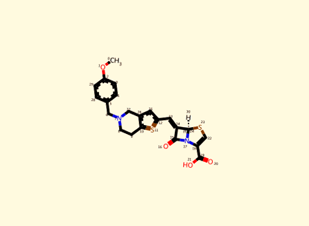 COc1ccc(CN2CCc3sc(C=C4C(=O)N5C(C(=O)O)=CS[C@H]45)cc3C2)cc1